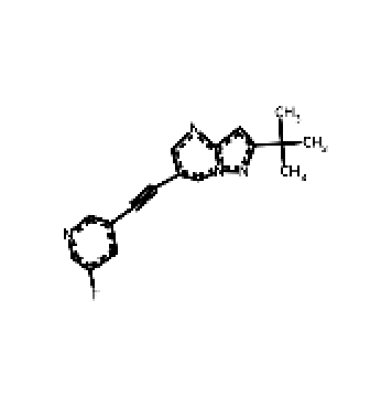 CC(C)(C)c1cc2ncc(C#Cc3cncc(F)c3)cn2n1